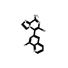 Nc1nc(Br)c(-c2cc(F)c3ncccc3c2)n2ccnc12